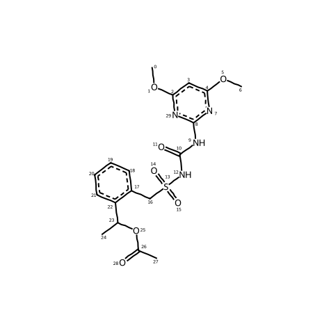 COc1cc(OC)nc(NC(=O)NS(=O)(=O)Cc2ccccc2C(C)OC(C)=O)n1